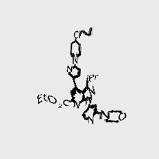 CCOC(=O)c1cc(-c2ccc(N3CCC(C#N)CC3)nc2)c2c(C(C)C)nn(-c3ccnc(N4CCOCC4)c3)c2n1